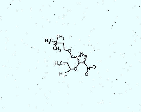 CC[C@H](C)Oc1c([N+](=O)[O-])cnn1COCC[Si](C)(C)C